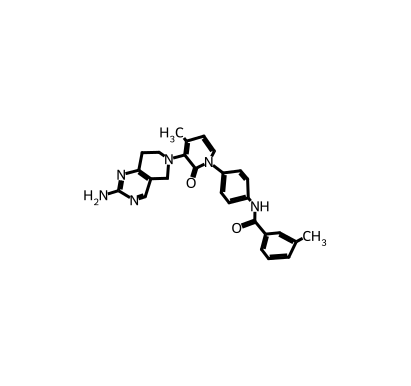 Cc1cccc(C(=O)Nc2ccc(-n3ccc(C)c(N4CCc5nc(N)ncc5C4)c3=O)cc2)c1